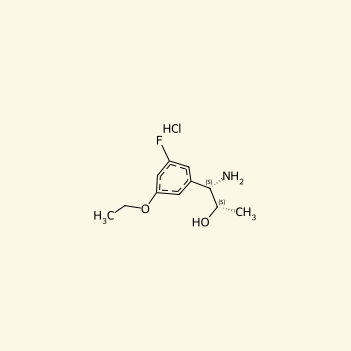 CCOc1cc(F)cc([C@H](N)[C@H](C)O)c1.Cl